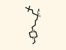 CC[C@@H](CCCCN1CCN(CC)CC1)CCC(C)(C)C